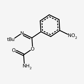 CC(C)(C)N=C(OC(N)=O)c1cccc([N+](=O)[O-])c1